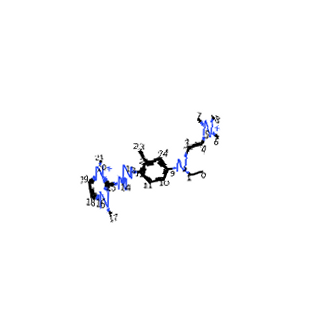 CCN(CC[N+](C)(C)C)c1ccc(/N=N/c2n(C)cc[n+]2C)c(C)c1